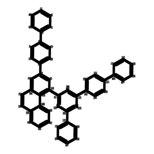 c1ccc(-c2ccc(-c3cc(-c4nc(-c5ccccc5)nc(-c5ccc(-c6ccccc6)cc5)n4)c4c(ccc5ccccc54)c3)cc2)cc1